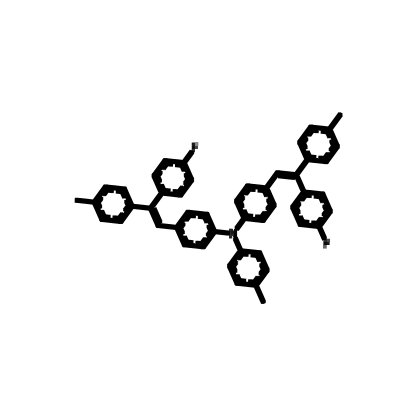 Cc1ccc(C(=Cc2ccc(N(c3ccc(C)cc3)c3ccc(C=C(c4ccc(C)cc4)c4ccc(F)cc4)cc3)cc2)c2ccc(F)cc2)cc1